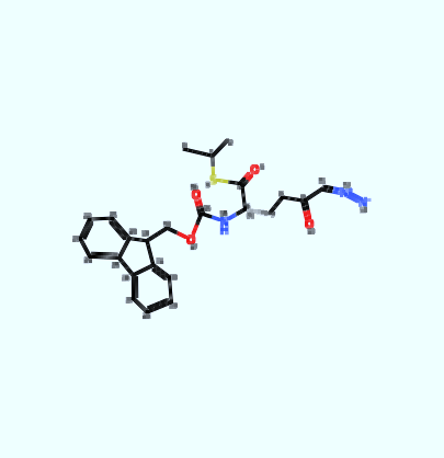 CC(C)SC(=O)[C@H](CCC(=O)C=[N+]=[N-])NC(=O)OCC1c2ccccc2-c2ccccc21